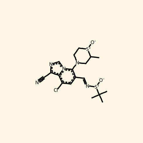 CC1CN(c2c(/C=N/[S+]([O-])C(C)(C)C)cc(Cl)c3c(C#N)ncn23)CC[S+]1[O-]